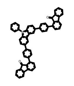 O=C1c2ccccc2-c2cccc(-c3ccc(-c4ccc5c(c4)c4cc(-c6ccc(-c7cccc8c7C(=O)c7ccccc7-8)cc6)ccc4n5-c4ccccc4)cc3)c21